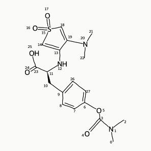 CN(C)C(=O)Oc1ccc(C[C@H](NC2=CS(=O)(=O)C=C2N(C)C)C(=O)O)cc1